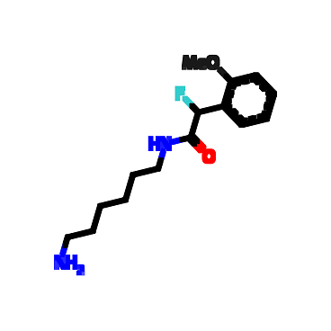 COc1ccccc1C(F)C(=O)NCCCCCCN